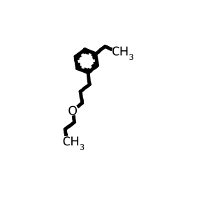 CCCOCCCc1cccc(CC)c1